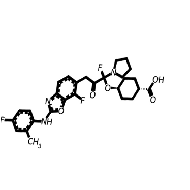 Cc1cc(F)ccc1Nc1nc2ccc(CC(=O)C(F)(O[C@H]3CC[C@H](C(=O)O)CC3)N3CCCC3)c(F)c2o1